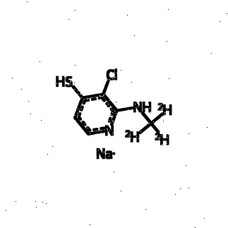 [2H]C([2H])([2H])Nc1nccc(S)c1Cl.[Na]